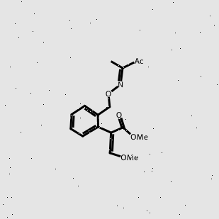 COC=C(C(=O)OC)c1ccccc1CON=C(C)C(C)=O